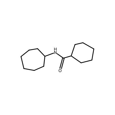 O=C(NC1CCCCCC1)C1CCCCC1